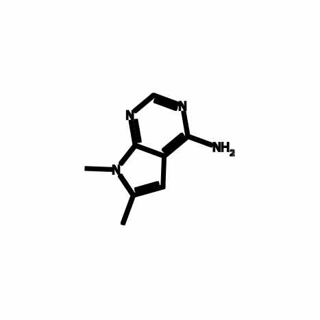 Cc1cc2c(N)ncnc2n1C